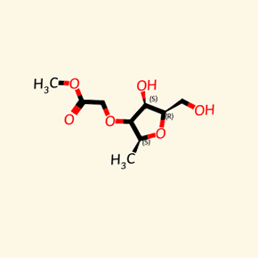 COC(=O)COC1[C@H](C)O[C@H](CO)[C@@H]1O